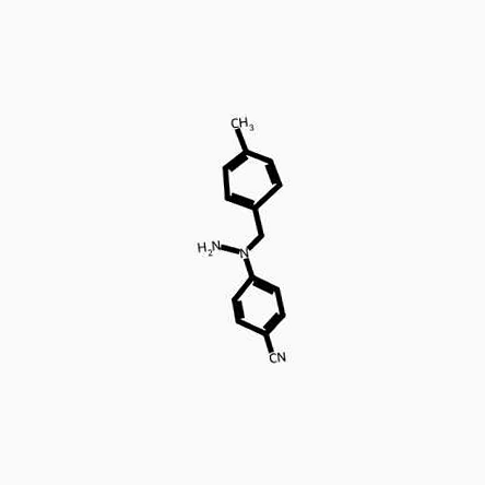 Cc1ccc(CN(N)c2ccc(C#N)cc2)cc1